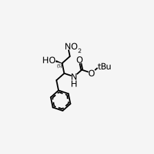 CC(C)(C)OC(=O)NC(Cc1ccccc1)[C@@H](O)C[N+](=O)[O-]